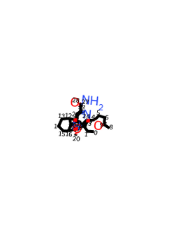 CCC(CC1CCC(C)O1)N1CC2CCCC(C1)C2(OC)c1ccnc(C(N)=O)c1